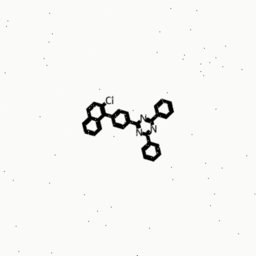 Clc1ccc2ccccc2c1-c1ccc(-c2nc(-c3ccccc3)nc(-c3ccccc3)n2)cc1